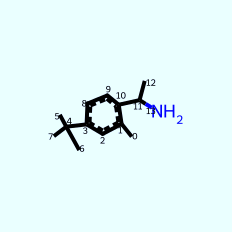 Cc1cc(C(C)(C)C)ccc1C(C)N